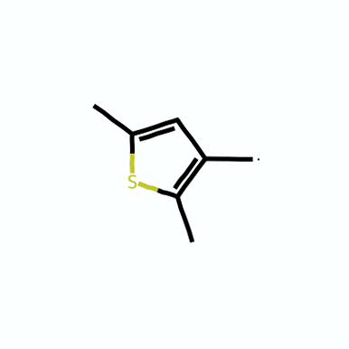 [CH2]c1cc(C)sc1C